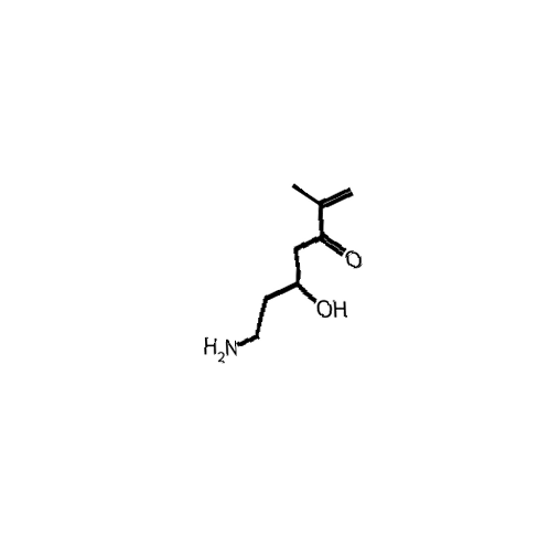 C=C(C)C(=O)CC(O)CCN